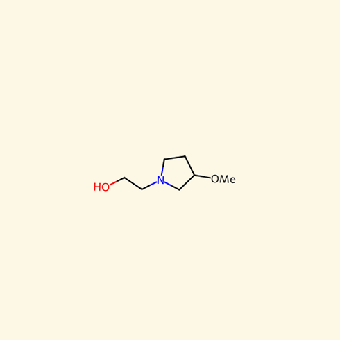 COC1CCN(CCO)C1